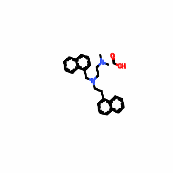 CN(C)CCN(CCc1cccc2ccccc12)Cc1cccc2ccccc12.O=CO